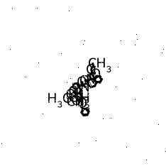 CCOC(=O)CN1C(=O)[C@@H](NC(=O)C2(CC(CC(=O)OCc3ccccc3)C(=O)OC(C)(C)C)CCCC2)CCc2ccccc21